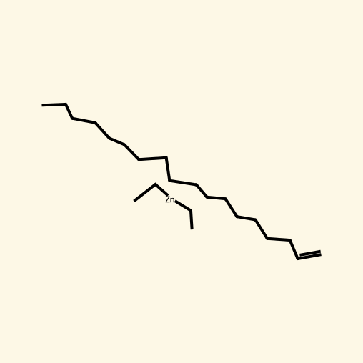 C=CCCCCCCCCCCCCCCCC.C[CH2][Zn][CH2]C